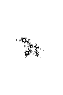 CCC(CCC(C)(C)O)C(=O)OCC(C)(COC(=O)C1CCC2(C)OC2C1)COC(=O)C1CCC2(C)OC2C1